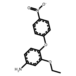 CCOc1cc(N)ccc1Oc1ccc([N+](=O)[O-])cc1